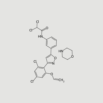 C1COCCN1.C=COc1cc(Cl)cc(Cl)c1-c1cc(-c2cccc(NC(=O)C(Cl)Cl)c2)on1